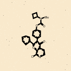 CC(C)(C)N(C(=O)Oc1ccc(-c2c(-c3ccccc3)oc3c(Cl)nccc3c2=O)cc1)C1CCC1